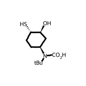 CC(C)(C)N(C(=O)O)[C@H]1CC[C@H](S)[C@@H](O)C1